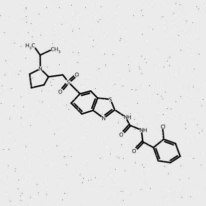 CC(C)N1CCCC1CS(=O)(=O)c1ccc2nc(NC(=O)NC(=O)c3ccccc3Cl)sc2c1